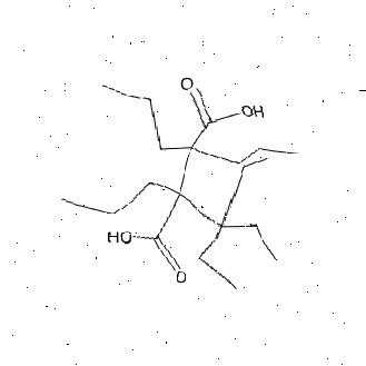 CCCC(CCC)(C(=O)O)C(CCC)(C(=O)O)C(CC)(CC)CC